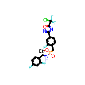 CCOP(=O)(Cc1ccc(-c2noc(C(F)(F)Cl)n2)cc1F)NCc1ccc(F)cc1F